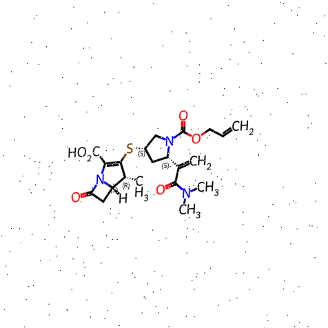 C=CCOC(=O)N1C[C@@H](SC2=C(C(=O)O)N3C(=O)C[C@H]3[C@H]2C)C[C@H]1C(=C)C(=O)N(C)C